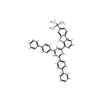 CC(C)(C)c1ccc2c(c1)sc1c(-c3nc(-c4ccc(-c5ccccc5)cc4)nc(-c4ccc(-c5ccccc5)cc4)n3)cccc12